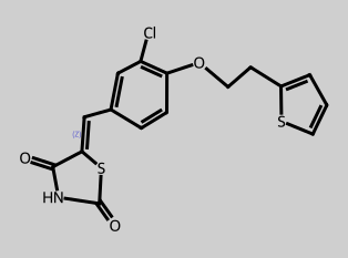 O=C1NC(=O)/C(=C/c2ccc(OCCc3cccs3)c(Cl)c2)S1